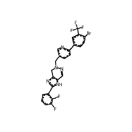 Fc1cccc(-c2nc3c([nH]2)C=NN(Cc2ccc(-c4ccc(Br)c(C(F)(F)F)c4)nc2)C3)c1F